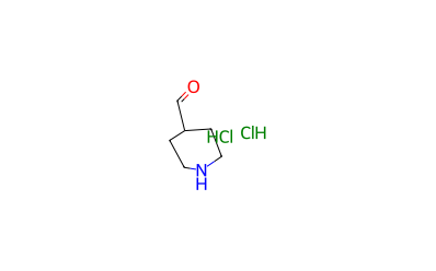 Cl.Cl.O=CC1CCNCC1